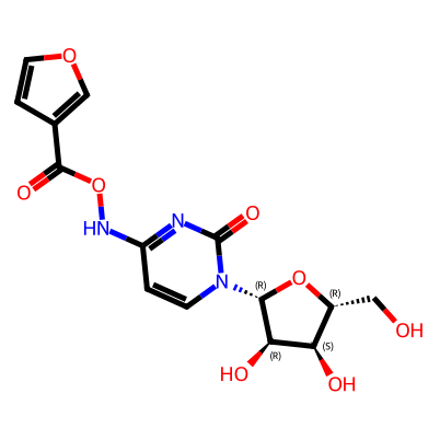 O=C(ONc1ccn([C@@H]2O[C@H](CO)[C@@H](O)[C@H]2O)c(=O)n1)c1ccoc1